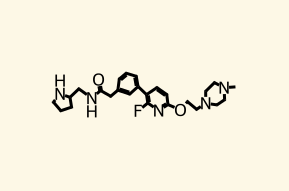 CN1CCN(CCOc2ccc(-c3cccc(CC(=O)NCC4CCCN4)c3)c(F)n2)CC1